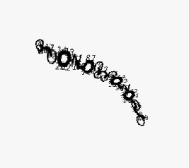 O=C(CC(=O)Oc1ccc(/C=N/c2ccc(OCC3CO3)cc2)cc1)Oc1ccc(/C=N/c2ccc(OCC3CO3)cc2)cc1